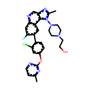 Cc1ccnc(Oc2ccc(-c3cc4c(cc3F)ncc3nc(C)n(N5CCN(CCO)CC5)c34)c(Cl)c2)n1